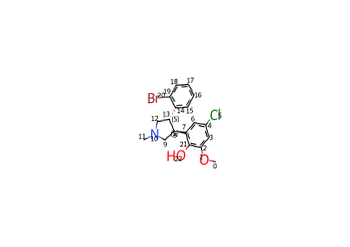 COc1cc(Cl)cc([C@H]2CN(C)C[C@@H]2c2ccccc2Br)c1O